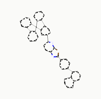 c1ccc2c(c1)-c1ccccc1C21c2ccccc2-c2ccc(-c3ccc4nc(-c5ccc(-c6cccc7ccccc67)cc5)sc4n3)cc21